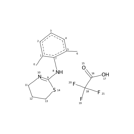 Cc1cccc(C)c1NC1=NCCCS1.O=C(O)C(F)(F)F